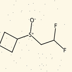 [O-][S+](CC(F)F)C1CCC1